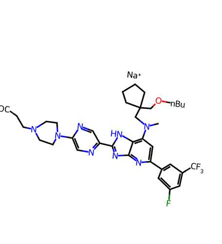 CCCCOCC1(CN(C)c2cc(-c3cc(F)cc(C(F)(F)F)c3)nc3nc(-c4cnc(N5CCN(CCC(=O)[O-])CC5)cn4)[nH]c23)CCCC1.[Na+]